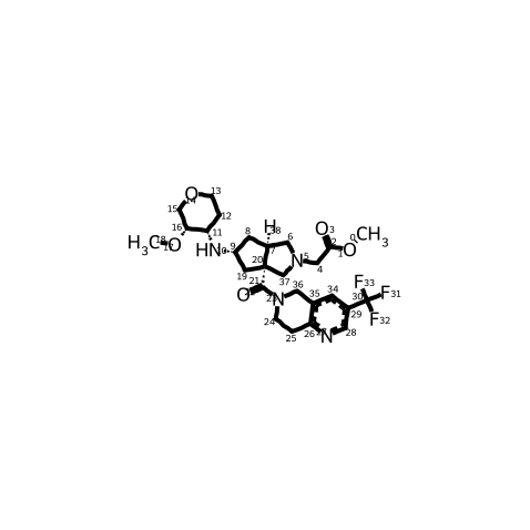 COC(=O)CN1C[C@@H]2C[C@@H](N[C@H]3CCOC[C@H]3OC)C[C@]2(C(=O)N2CCc3ncc(C(F)(F)F)cc3C2)C1